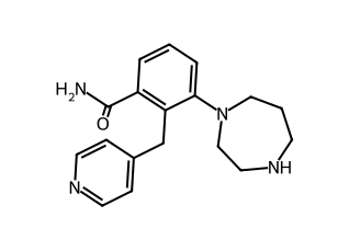 NC(=O)c1cccc(N2CCCNCC2)c1Cc1ccncc1